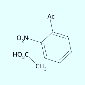 CC(=O)O.CC(=O)c1ccccc1[N+](=O)[O-]